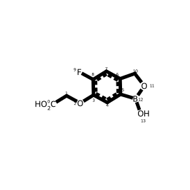 O=C(O)COc1cc2c(cc1F)COB2O